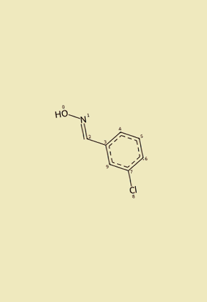 ON=Cc1cc[c]c(Cl)c1